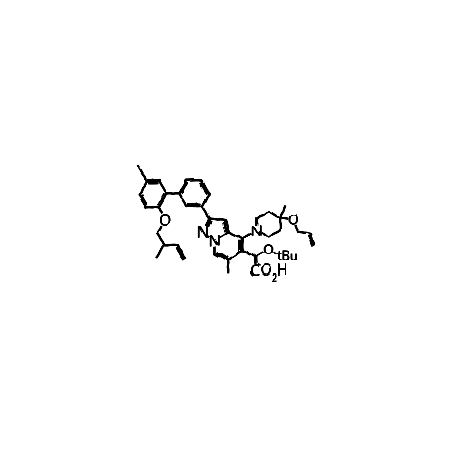 C=CCOC1(C)CCN(c2c(C(OC(C)(C)C)C(=O)O)c(C)cn3nc(-c4cccc(-c5cc(C)ccc5OCC(C)C=C)c4)cc23)CC1